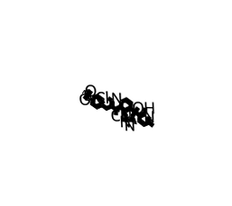 Cc1ccc(C(O)(c2ccc3nc(Cl)c(Cc4ccc(S(C)(=O)=O)cc4)c(Cl)c3c2)c2cnnn2C)c(C)n1